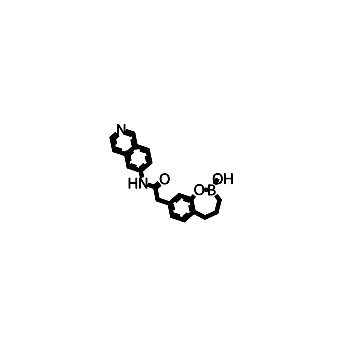 O=C(Cc1ccc2c(c1)OB(O)CCC2)Nc1ccc2cnccc2c1